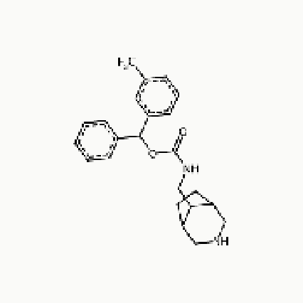 O=C(NCC1C2CCC1CNC2)OC(c1ccccc1)c1cccc(C(F)(F)F)c1